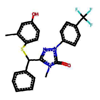 Cc1cc(O)ccc1SC(c1ccccc1)c1nn(-c2ccc(C(F)(F)F)cc2)c(=O)n1C